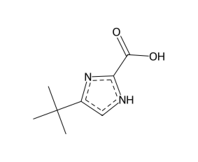 CC(C)(C)c1c[nH]c(C(=O)O)n1